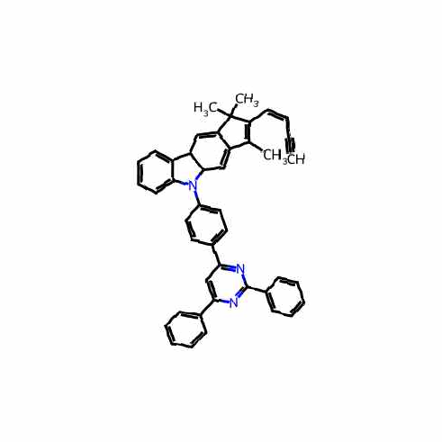 C#C/C=C\C1=C(C)C2=CC3C(C=C2C1(C)C)c1ccccc1N3c1ccc(-c2cc(-c3ccccc3)nc(-c3ccccc3)n2)cc1